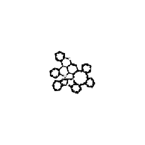 C1=C2Oc3ccccc3B3c4ccccc4OC(c4c1c1ccccc1c1ccccc1c1cccc5c1n4c1nc4ccccc4n51)C32